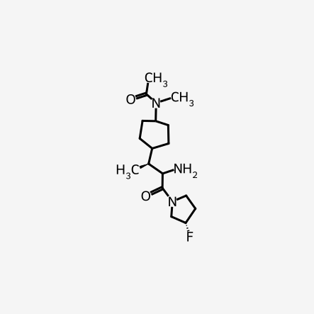 CC(=O)N(C)C1CCC([C@H](C)C(N)C(=O)N2CC[C@H](F)C2)CC1